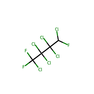 FC(Cl)C(Cl)(Cl)C(Cl)(Cl)C(F)(F)Cl